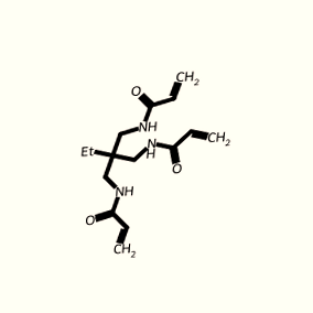 C=CC(=O)NCC(CC)(CNC(=O)C=C)CNC(=O)C=C